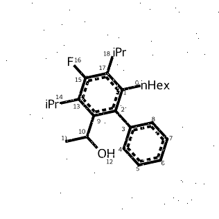 CCCCCCc1c(-c2ccccc2)c(C(C)O)c(C(C)C)c(F)c1C(C)C